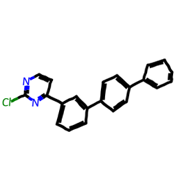 Clc1nccc(-c2cccc(-c3ccc(-c4ccccc4)cc3)c2)n1